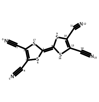 N#CC1=C(C#N)SC(=C2SC(C#N)=C(C#N)S2)S1